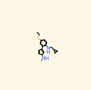 CCSc1ccc(NCC2CC2)c(C2=CC(NC)C=C2)c1